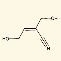 N#C/C(=C\CO)CO